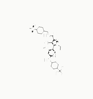 CCn1nc(C(=O)NCC2CCC(S(C)(=O)=O)CC2)c(Cl)c1-c1cnc(NC2CCC(C(F)(F)F)CC2)cc1OC